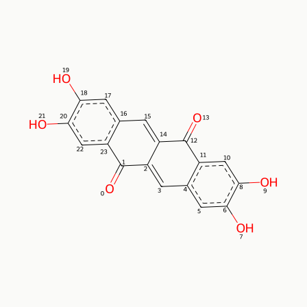 O=C1C2=Cc3cc(O)c(O)cc3C(=O)C2=Cc2cc(O)c(O)cc21